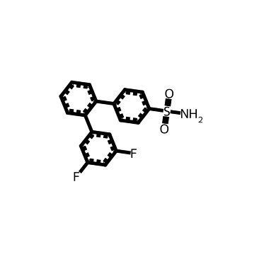 NS(=O)(=O)c1ccc(-c2ccccc2-c2cc(F)cc(F)c2)cc1